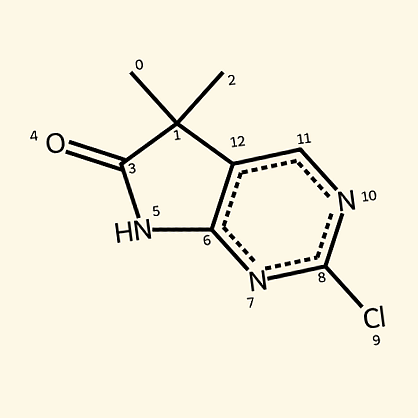 CC1(C)C(=O)Nc2nc(Cl)ncc21